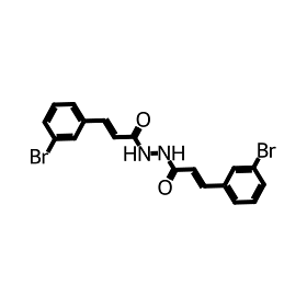 O=C(/C=C/c1cccc(Br)c1)NNC(=O)/C=C/c1cccc(Br)c1